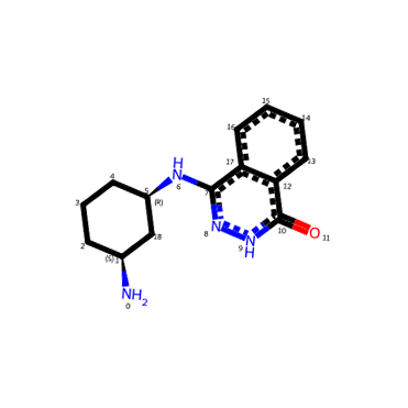 N[C@H]1CCC[C@@H](Nc2n[nH]c(=O)c3ccccc23)C1